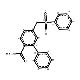 COC(=O)c1ccc(CS(=O)(=O)c2cccnc2)cc1-c1ccccc1